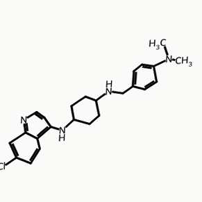 CN(C)c1ccc(CNC2CCC(Nc3ccnc4cc(Cl)ccc34)CC2)cc1